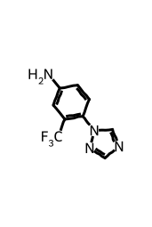 Nc1ccc(-n2cncn2)c(C(F)(F)F)c1